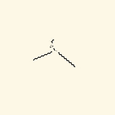 CCCCCCCCCCCCCCC(=O)OC[C@H](COP(=O)(O)OC[C@H](N)C(=O)O)OC(=O)CCCCCCCCCCCC